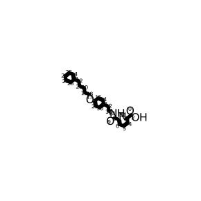 O=C(O)c1cccc(C(=O)NCCc2ccc(OCCCCCc3ccccc3)cc2)n1